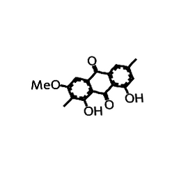 COc1cc2c(c(O)c1C)C(=O)c1c(O)cc(C)cc1C2=O